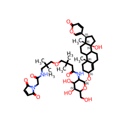 CC(C)(CNC(=O)CN1C(=O)C=CC1=O)COCC(C)(C)CC(=O)NC1C(O)[C@H](O)C(CO)O[C@H]1O[C@@H]1C=C2CCC3C(CC[C@]4(C)[C@@H](c5ccc(=O)oc5)CC[C@]34O)[C@@]2(C)CC1